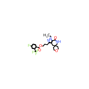 CCn1nc(CCCOC(=O)c2ccc(F)cc2C(F)(F)F)c2c1C(=O)NCC1(CCOCC1)C2